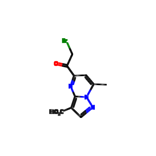 CCOC(=O)c1cnn2c(C)cc(C(=O)CBr)nc12